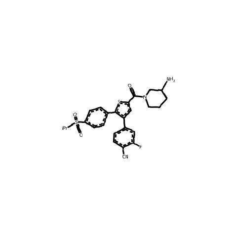 CC(C)S(=O)(=O)c1ccc(-c2sc(C(=O)N3CCCC(N)C3)cc2-c2ccc(C#N)c(F)c2)cc1